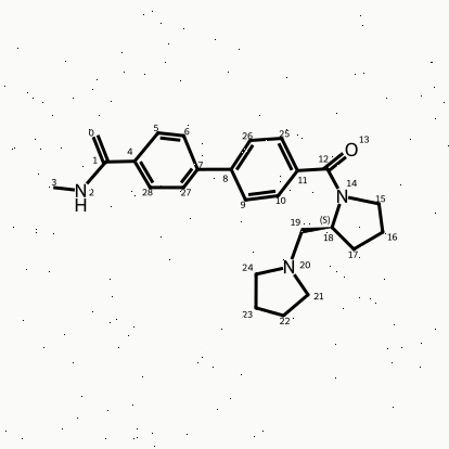 C=C(NC)c1ccc(-c2ccc(C(=O)N3CCC[C@H]3CN3CCCC3)cc2)cc1